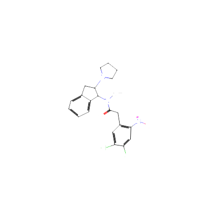 CN(C(=O)Cc1cc(Cl)c(Cl)cc1[N+](=O)[O-])C1c2ccccc2CC1N1CCCC1